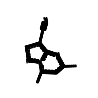 Cc1cc(C)n2ncc(C#N)c2n1